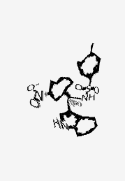 Cc1ccc(S(=O)(=O)N[C@H](c2cccc([N+](=O)[O-])c2)c2c[nH]c3ccccc23)cc1